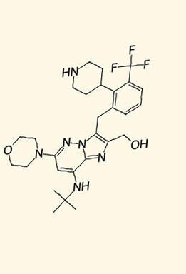 CC(C)(C)Nc1cc(N2CCOCC2)nn2c(Cc3cccc(C(F)(F)F)c3C3CCNCC3)c(CO)nc12